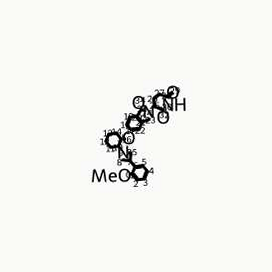 COc1ccccc1C1CN([C@@H]2CCCC[C@@H]2Oc2ccc3c(c2)CN(C2CCC(=O)NC2=O)C3=O)C1